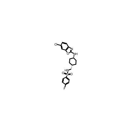 O=S(=O)(NC[C@H]1CC[C@H](Nc2nc3ccc(Cl)cc3o2)CC1)c1ccc(F)cc1